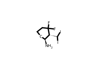 N[C@H]1CCCC(F)(F)[C@@H]1C(I)I